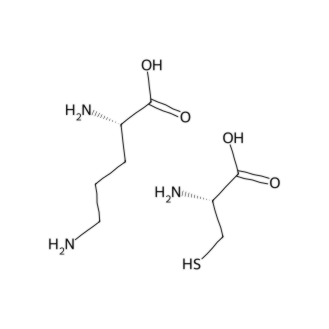 NCCC[C@H](N)C(=O)O.N[C@@H](CS)C(=O)O